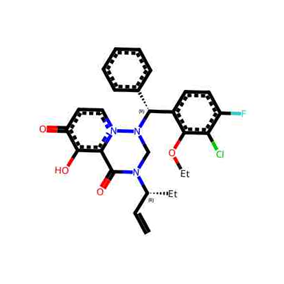 C=C[C@@H](CC)N1CN([C@H](c2ccccc2)c2ccc(F)c(Cl)c2OCC)n2ccc(=O)c(O)c2C1=O